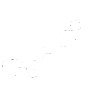 C=N/C(=N\C=C(/C)CN1CCC2(CC1)CN(CCC)C2)N1C2CCC1CN(C(C)C)C2